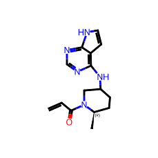 C=CC(=O)N1CC(Nc2ncnc3[nH]ccc23)CC[C@H]1C